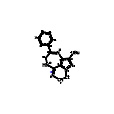 CCn1nc(C(C)(C)C)c2c1/C(=N\C#N)NCC(c1ccccc1)=N2